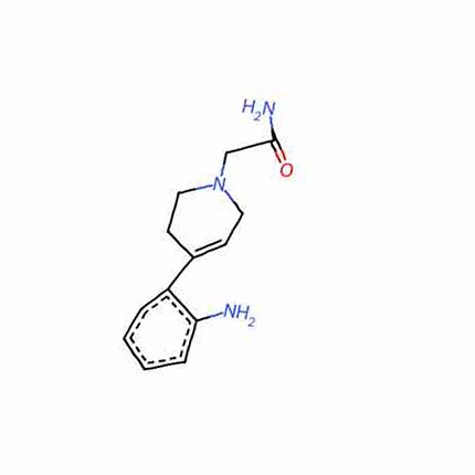 NC(=O)CN1CC=C(c2ccccc2N)CC1